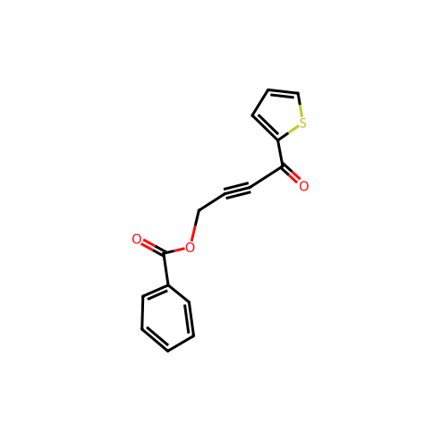 O=C(OCC#CC(=O)c1cccs1)c1ccccc1